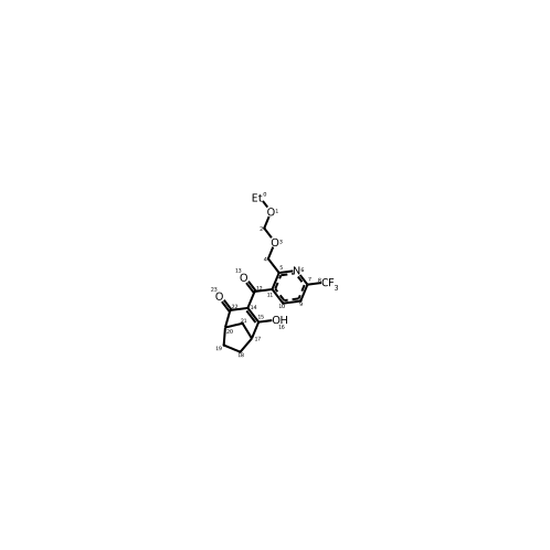 CCOCOCc1nc(C(F)(F)F)ccc1C(=O)C1=C(O)C2CCC(C2)C1=O